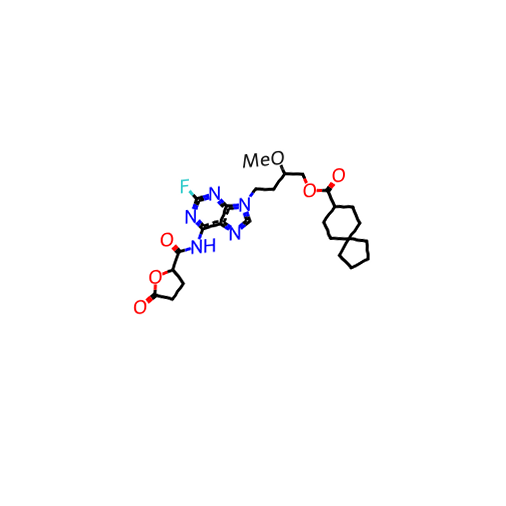 COC(CCn1cnc2c(NC(=O)C3CCC(=O)O3)nc(F)nc21)COC(=O)C1CCC2(CCCC2)CC1